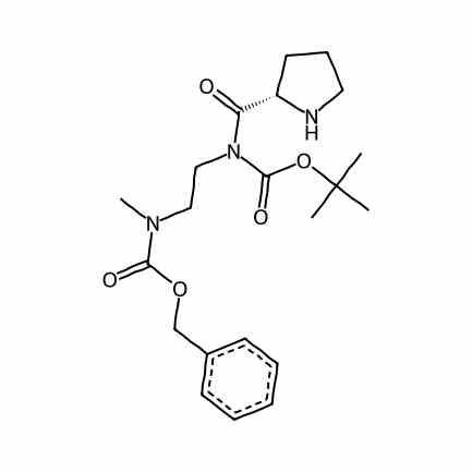 CN(CCN(C(=O)OC(C)(C)C)C(=O)[C@@H]1CCCN1)C(=O)OCc1ccccc1